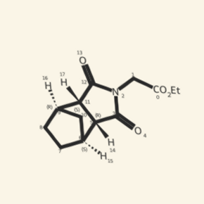 CCOC(=O)CN1C(=O)[C@@H]2[C@H]3CC[C@H](C3)[C@@H]2C1=O